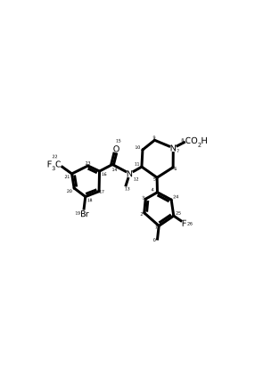 Cc1ccc(C2CN(C(=O)O)CCC2N(C)C(=O)c2cc(Br)cc(C(F)(F)F)c2)cc1F